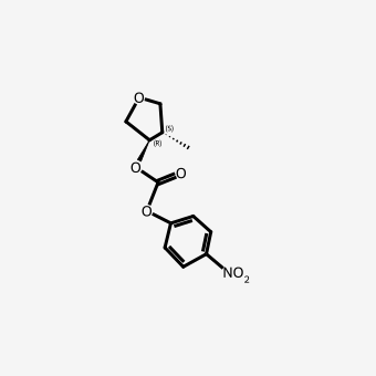 C[C@H]1COC[C@@H]1OC(=O)Oc1ccc([N+](=O)[O-])cc1